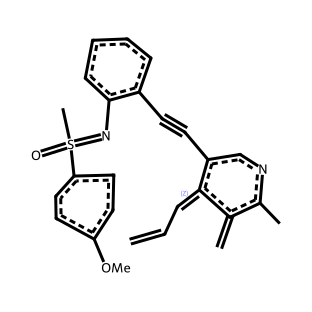 C=C/C=c1/c(C#Cc2ccccc2N=S(C)(=O)c2ccc(OC)cc2)cnc(C)c1=C